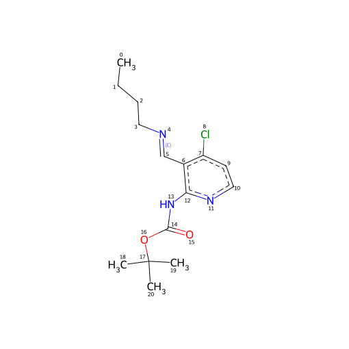 CCCC/N=C/c1c(Cl)ccnc1NC(=O)OC(C)(C)C